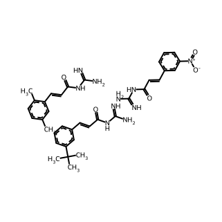 CC(C)(C)c1cccc(C=CC(=O)NC(=N)N)c1.Cc1ccc(C)c(C=CC(=O)NC(=N)N)c1.N=C(N)NC(=O)C=Cc1cccc([N+](=O)[O-])c1